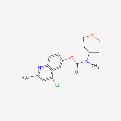 Cc1cc(Cl)c2cc(OC(=O)N(C)C3CCOCC3)ccc2n1